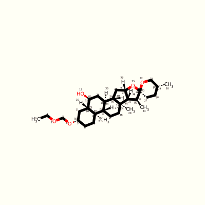 CCOCO[C@H]1CC[C@@]2(C)[C@H](C1)[C@@H](O)C[C@@H]1[C@@H]2CC[C@]2(C)[C@@H]3[C@H](C[C@@H]12)O[C@]1(CC[C@@H](C)CO1)[C@H]3C